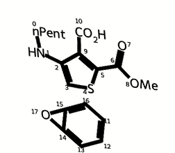 CCCCCNc1csc(C(=O)OC)c1C(=O)O.c1ccc2c(c1)O2